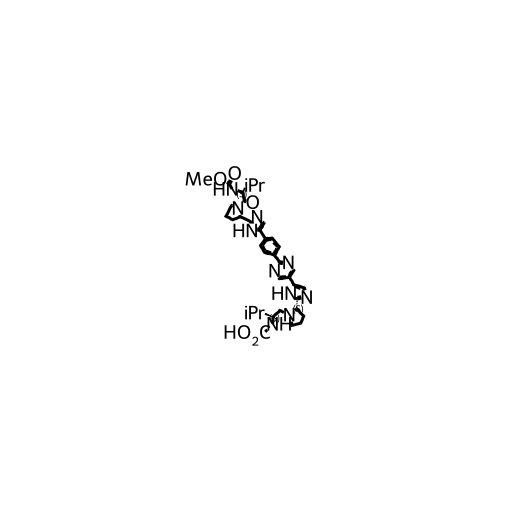 COC(=O)N[C@H](C(=O)N1CCCC1c1ncc(-c2ccc(-c3ncc(-c4cnc([C@@H]5CCCN5C[C@@H](NC(=O)O)C(C)C)[nH]4)cn3)cc2)[nH]1)C(C)C